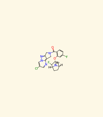 CCCN1[C@H]2CC[C@@H]1C(F)[C@H](Oc1cc(F)ccc1C(=O)N1Cc3nn4cc(Cl)cnc4c3C1)C2